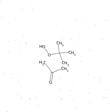 CC(C)(C)OO.CC(C)=O